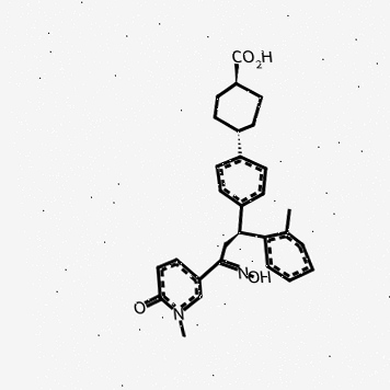 Cc1ccccc1[C@@H](C/C(=N\O)c1ccc(=O)n(C)c1)c1ccc([C@H]2CC[C@H](C(=O)O)CC2)cc1